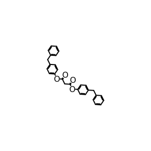 O=C(CC(=O)Oc1ccc(Cc2ccccc2)cc1)Oc1ccc(Cc2ccccc2)cc1